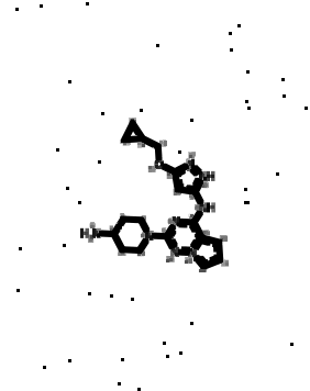 NC1CCN(c2nc(Nc3cc(OCC4CC4)n[nH]3)c3cccn3n2)CC1